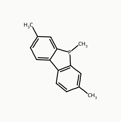 Cc1ccc2c3ccc(C)cc3p(C)c2c1